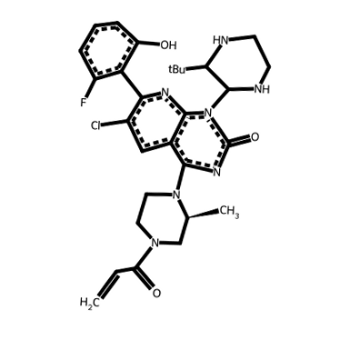 C=CC(=O)N1CCN(c2nc(=O)n(C3NCCNC3C(C)(C)C)c3nc(-c4c(O)cccc4F)c(Cl)cc23)[C@@H](C)C1